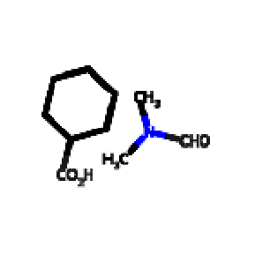 CN(C)C=O.O=C(O)C1CCCCC1